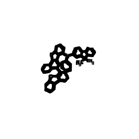 CC1(C)c2ccccc2-c2ccc(N(c3ccccc3)c3cccc4oc5c6ccccc6c(-c6cccc7c6oc6ccccc67)cc5c34)cc21